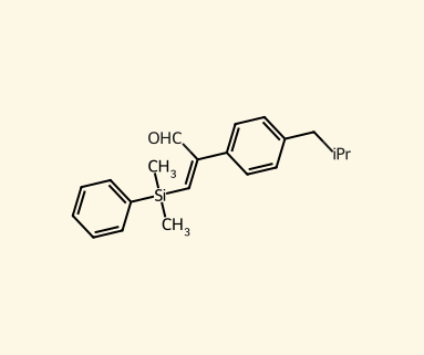 CC(C)Cc1ccc(C(C=O)=C[Si](C)(C)c2ccccc2)cc1